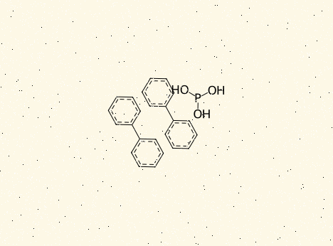 OP(O)O.c1ccc(-c2ccccc2)cc1.c1ccc(-c2ccccc2)cc1